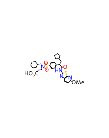 COc1ccc2nc(NC(=O)[C@H](CC3CCCC3)c3ccc(S(=O)(=O)N(CCC(=O)O)CC4CCCCC4)cc3)sc2n1